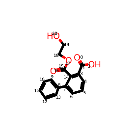 O=C(O)c1cccc(-c2ccccc2)c1C(=O)OCCO